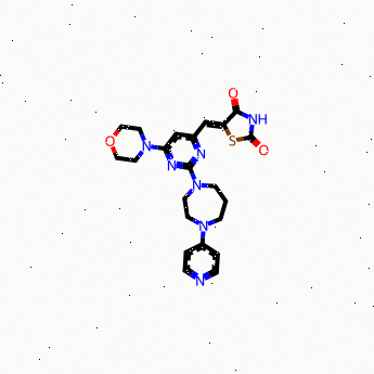 O=C1NC(=O)C(=Cc2cc(N3CCOCC3)nc(N3CCCN(c4ccncc4)CC3)n2)S1